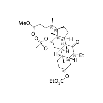 CCOC(=O)O[C@@H]1CC[C@]2(C)[C@H]3C[C@H](OS(C)(=O)=O)[C@]4(C)[C@@H]([C@H](C)CCC(=O)OC)CC[C@H]4[C@@H]3C(=O)[C@H](CC)[C@@H]2C1